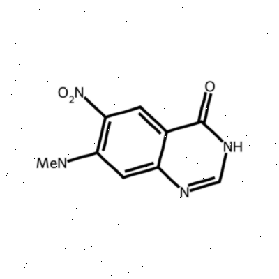 CNc1cc2nc[nH]c(=O)c2cc1[N+](=O)[O-]